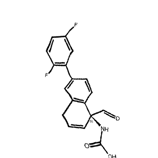 O=C[C@]1(NC(=O)O)C=CCc2cc(-c3cc(F)ccc3F)ccc21